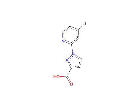 O=C(O)c1ccn(-c2cc(I)ccn2)n1